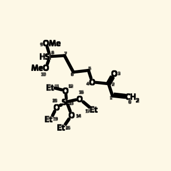 C=CC(=O)OCCC[SiH](OC)OC.CCO[Si](OCC)(OCC)OCC